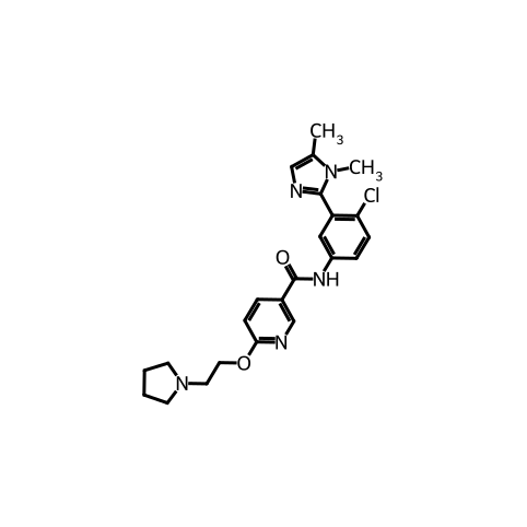 Cc1cnc(-c2cc(NC(=O)c3ccc(OCCN4CCCC4)nc3)ccc2Cl)n1C